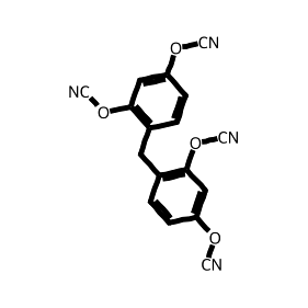 N#COc1ccc(Cc2ccc(OC#N)cc2OC#N)c(OC#N)c1